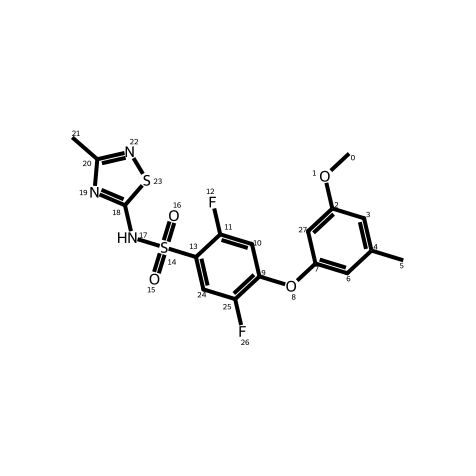 COc1cc(C)cc(Oc2cc(F)c(S(=O)(=O)Nc3nc(C)ns3)cc2F)c1